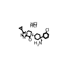 Cl.Cl.NC[C@]1(c2cccc(Cl)c2)CC[C@@H](N2CCn3c(nnc3C3CC3)C2=O)CC1